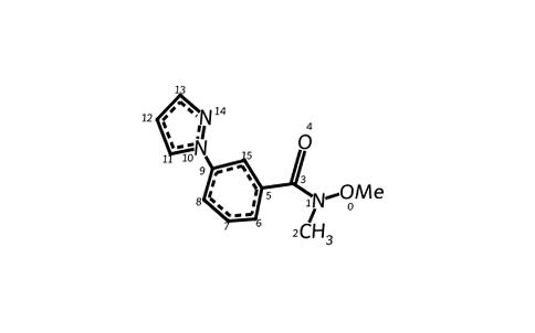 CON(C)C(=O)c1cccc(-n2cccn2)c1